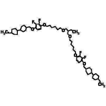 C=CC1CCC(C2CCC(COc3ccc(OCCCCCCOCC(CC)COCCCCCCOc4ccc(OCC5CCC(C6CCC(C=C)CC6)CC5)c(F)c4F)c(F)c3F)CC2)CC1